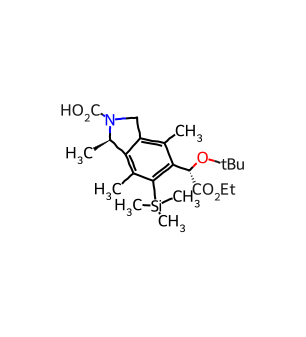 CCOC(=O)[C@@H](OC(C)(C)C)c1c(C)c2c(c(C)c1[Si](C)(C)C)[C@@H](C)N(C(=O)O)C2